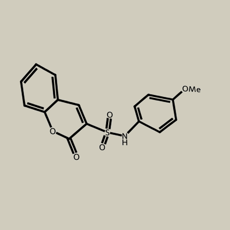 COc1ccc(NS(=O)(=O)c2cc3ccccc3oc2=O)cc1